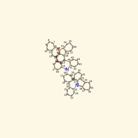 c1cc(-c2ccc3ccccc3c2)cc(N(c2ccc(-c3ccccc3-n3c4ccccc4c4ccccc43)cc2)c2ccccc2-c2cccc3sc4ccccc4c23)c1